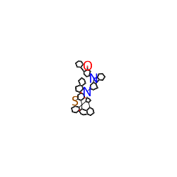 c1ccc2c(c1)Sc1ccccc1C21c2cc(N(c3ccc4c5ccccc5n(-c5ccc6c(c5)oc5ccccc56)c4c3)c3cccc4ccccc34)ccc2-c2cccc3cccc1c23